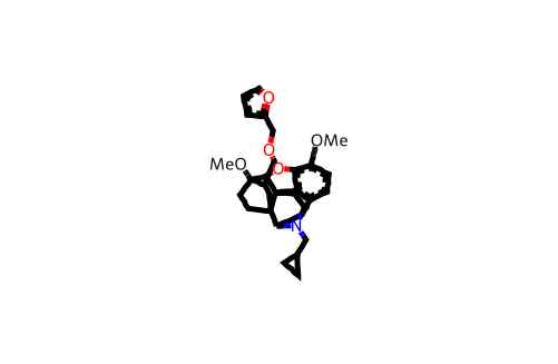 COc1ccc2c3c1OC1C4(OC)CCC5(CC4COCc4ccco4)C(C2)N(CC2CC2)CCC315